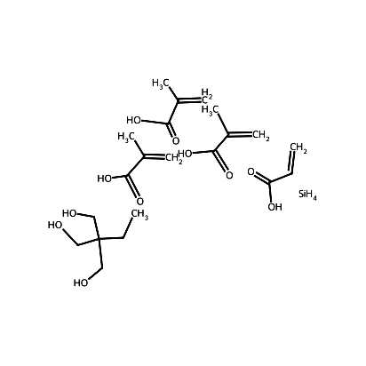 C=C(C)C(=O)O.C=C(C)C(=O)O.C=C(C)C(=O)O.C=CC(=O)O.CCC(CO)(CO)CO.[SiH4]